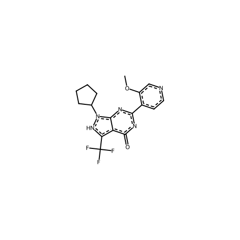 COc1cnccc1-c1nc2n(C3CCCC3)[nH]c(C(F)(F)F)c-2c(=O)n1